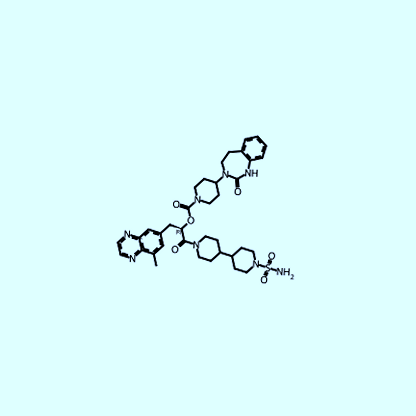 Cc1cc(C[C@@H](OC(=O)N2CCC(N3CCc4ccccc4NC3=O)CC2)C(=O)N2CCC(C3CCN(S(N)(=O)=O)CC3)CC2)cc2nccnc12